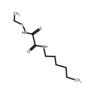 CCCCCCNC(=O)C(=S)NSCC